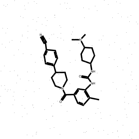 Cc1ccc(C(=O)N2CCC(c3ccc(C#N)cc3)CC2)cc1NC(=O)NC1CCC(N(C)C)CC1